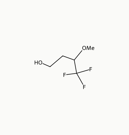 COC(CCO)C(F)(F)F